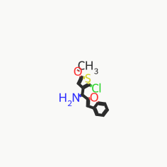 COc1cc(C(N)c2cc3ccccc3o2)c(Cl)s1